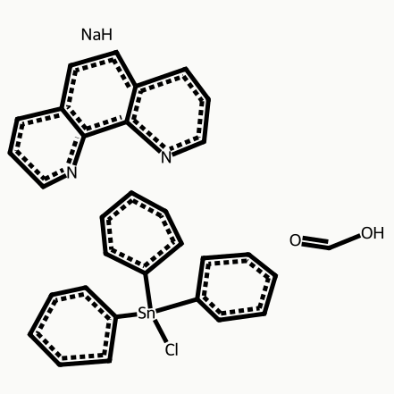 O=CO.[Cl][Sn]([c]1ccccc1)([c]1ccccc1)[c]1ccccc1.[NaH].c1cnc2c(c1)ccc1cccnc12